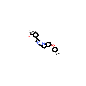 COC(=O)C1CCCC(C2CN(Cc3ccc4cc(O[C@H]5CC[C@@H](C(C)C)CC5)ccc4n3)C2)C1